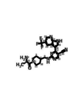 C[C@@H](N)C(=O)N1CCC(CNc2ncc(C#N)c(-c3c[nH]c4ncc(C(F)(F)F)cc34)n2)CC1